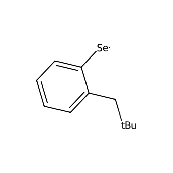 CC(C)(C)Cc1ccccc1[Se]